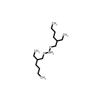 CCCCC(CC)CO[SiH2]OCC(CC)CCCC